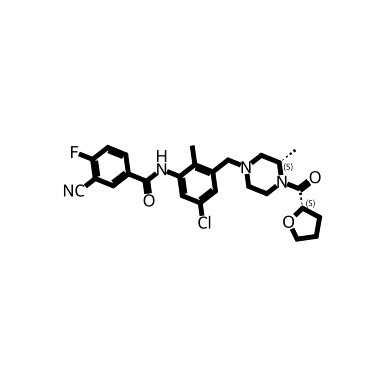 Cc1c(CN2CCN(C(=O)[C@@H]3CCCO3)[C@@H](C)C2)cc(Cl)cc1NC(=O)c1ccc(F)c(C#N)c1